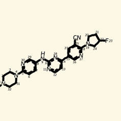 CN1CCN(c2ccc(Nc3nccc(-c4cnc(N5CCC(F)C5)c(C#N)c4)n3)cn2)CC1